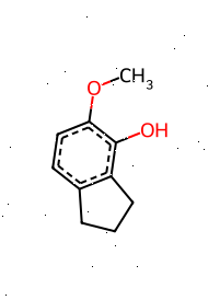 COc1ccc2c(c1O)CCC2